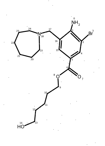 Nc1c(Br)cc(C(=O)OCCCCCO)cc1CN1CCCCCC1